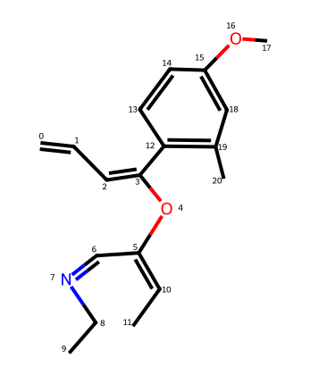 C=C/C=C(/OC(/C=N\CC)=C/C)c1ccc(OC)cc1C